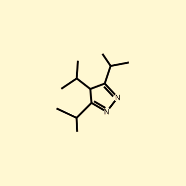 CC(C)C1=NN=C(C(C)C)C1C(C)C